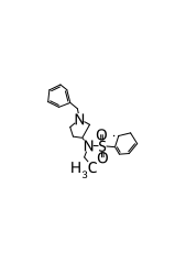 CCN(C1CCN(Cc2ccccc2)C1)S(=O)(=O)C1=CC=CC[CH]1